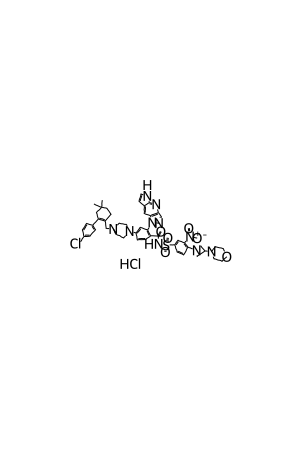 CC1(C)CCC(CN2CCN(c3ccc(C(=O)NS(=O)(=O)c4ccc(N5CC(N6CCOCC6)C5)c([N+](=O)[O-])c4)c(-n4ncc5nc6[nH]ccc6cc54)c3)CC2)=C(c2ccc(Cl)cc2)C1.Cl